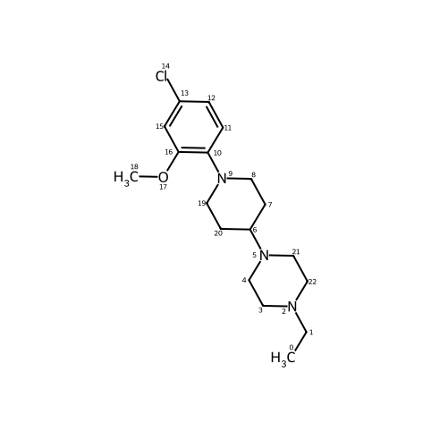 CCN1CCN(C2CCN(c3ccc(Cl)cc3OC)CC2)CC1